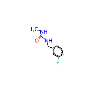 CNC(=O)NCc1cccc(F)c1